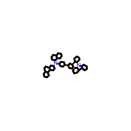 c1cc(-c2ccc(N(c3ccc4c(ccc5ccccc54)c3)c3cccc4ccccc34)cc2)cc(-c2ccccc2-n2c3ccccc3c3ccccc32)c1